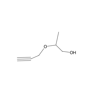 C#CCOC(C)CO